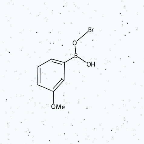 COc1cccc(B(O)OBr)c1